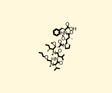 CCCOCCN(C)[C@H](C(=O)N[C@H](C(=O)N(C)[C@@H]([C@@H](C)CC)[C@@H](CC(=O)N1CCC[C@H]1[C@H](OC)[C@@H](C)C(=O)N[C@@H](Cc1ccccc1)C(=O)O)OC)C(C)C)C(C)C